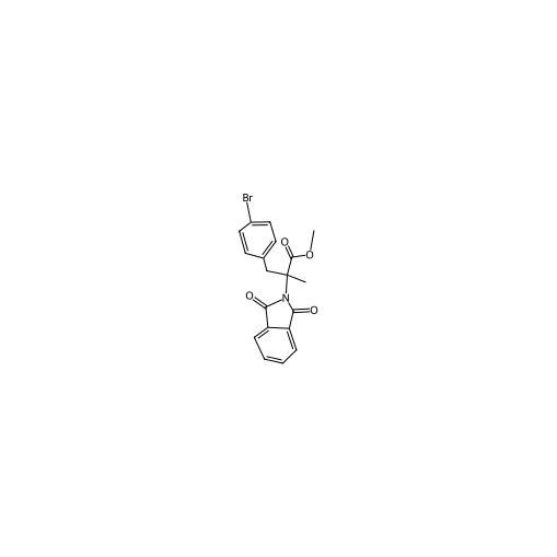 COC(=O)C(C)(Cc1ccc(Br)cc1)N1C(=O)c2ccccc2C1=O